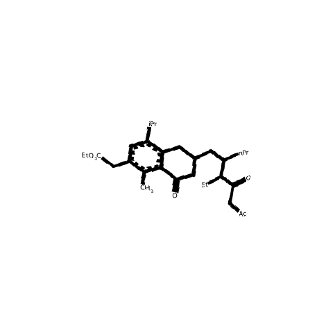 CCCC(CC1CC(=O)c2c(C)c(CC(=O)OCC)cc(C(C)C)c2C1)C(CC)C(=O)CC(C)=O